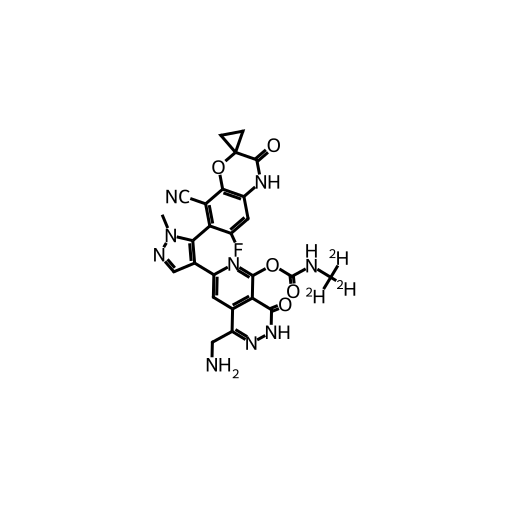 [2H]C([2H])([2H])NC(=O)Oc1nc(-c2cnn(C)c2-c2c(F)cc3c(c2C#N)OC2(CC2)C(=O)N3)cc2c(CN)n[nH]c(=O)c12